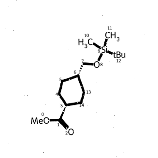 COC(=O)[C@H]1CC[C@H](CO[Si](C)(C)C(C)(C)C)CC1